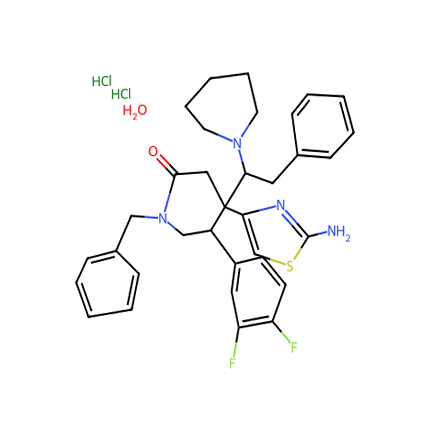 Cl.Cl.Nc1nc(C2(C(Cc3ccccc3)N3CCCCC3)CC(=O)N(Cc3ccccc3)CC2c2ccc(F)c(F)c2)cs1.O